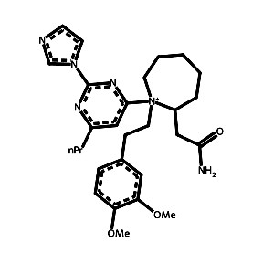 CCCc1cc([N+]2(CCc3ccc(OC)c(OC)c3)CCCCCC2CC(N)=O)nc(-n2ccnc2)n1